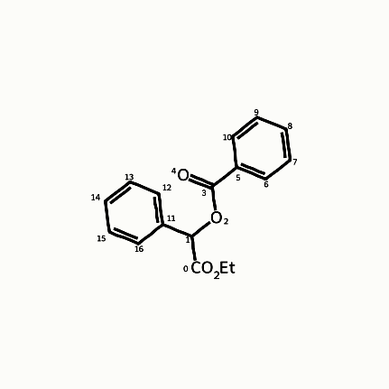 CCOC(=O)C(OC(=O)c1ccccc1)c1ccccc1